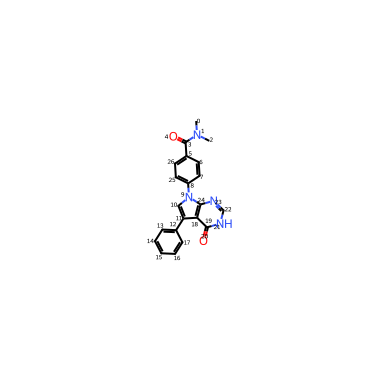 CN(C)C(=O)c1ccc(-n2cc(-c3ccccc3)c3c(=O)[nH]cnc32)cc1